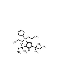 CC[O][Ti]([O]CC)([C]1=CC=CC1)[c]1cc(C(C)(C)CC)[nH]c1C(C)(C)CC